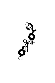 CC(c1ccc(NC(=O)NCc2ccc(Cl)cc2)cc1)N1CCOCC1